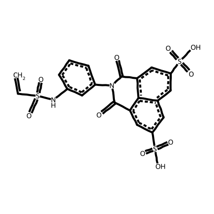 C=CS(=O)(=O)Nc1cccc(N2C(=O)c3cc(S(=O)(=O)O)cc4cc(S(=O)(=O)O)cc(c34)C2=O)c1